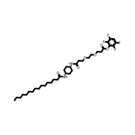 CCCCCCCCCCCCCCCC(=O)N[C@H]1CC[C@@H](NC(=O)CCOCCOCCC(=O)Oc2c(F)c(F)cc(F)c2F)CC1